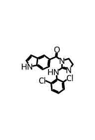 O=C(c1ccc2[nH]ccc2c1)N1CCN=C1Nc1c(Cl)cccc1Cl